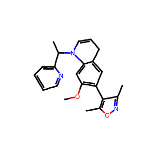 COc1cc2c(cc1-c1c(C)noc1C)CC=CN2C(C)c1ccccn1